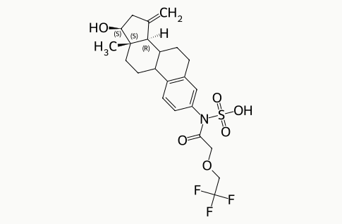 C=C1C[C@H](O)[C@@]2(C)CCC3c4ccc(N(C(=O)COCC(F)(F)F)S(=O)(=O)O)cc4CCC3[C@H]12